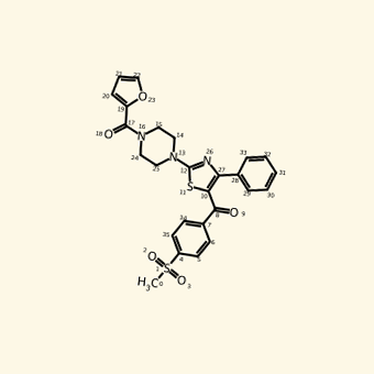 CS(=O)(=O)c1ccc(C(=O)c2sc(N3CCN(C(=O)c4ccco4)CC3)nc2-c2ccccc2)cc1